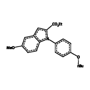 CCCCOc1ccc(-n2c(C(=O)OCC)cc3cc(OC)ccc32)cc1